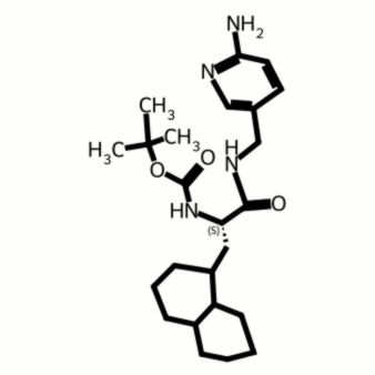 CC(C)(C)OC(=O)N[C@@H](CC1CCCC2CCCCC21)C(=O)NCc1ccc(N)nc1